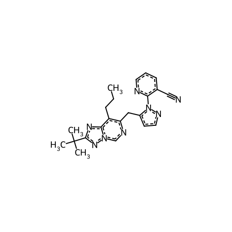 CCCc1c(Cc2ccnn2-c2ncccc2C#N)ncn2nc(C(C)(C)C)nc12